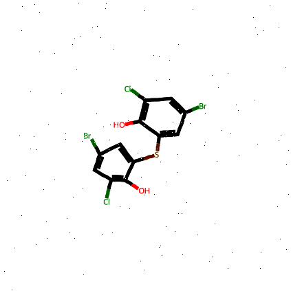 Oc1c(Cl)cc(Br)cc1Sc1cc(Br)cc(Cl)c1O